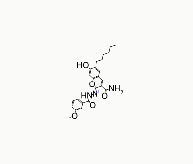 CCCCCCc1cc2cc(C(N)=O)/c(=N/NC(=O)c3cccc(OC)c3)oc2cc1O